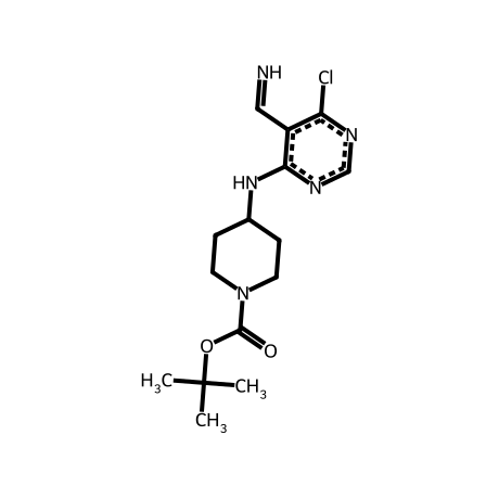 CC(C)(C)OC(=O)N1CCC(Nc2ncnc(Cl)c2C=N)CC1